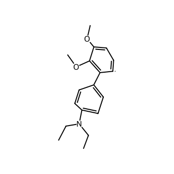 CCN(CC)c1ccc(-c2[c]ccc(OC)c2OC)cc1